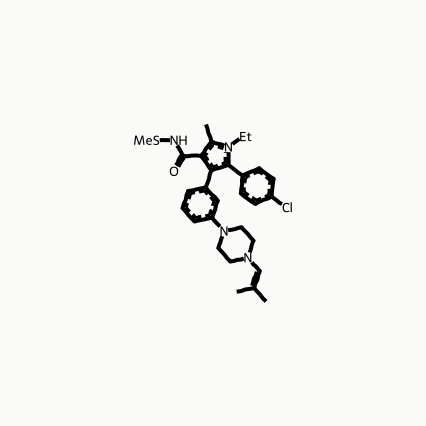 CCn1c(C)c(C(=O)NSC)c(-c2cccc(N3CCN(C=C(C)C)CC3)c2)c1-c1ccc(Cl)cc1